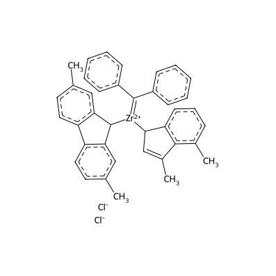 CC1=C[CH]([Zr+2](=[C](c2ccccc2)c2ccccc2)[CH]2c3cc(C)ccc3-c3ccc(C)cc32)c2cccc(C)c21.[Cl-].[Cl-]